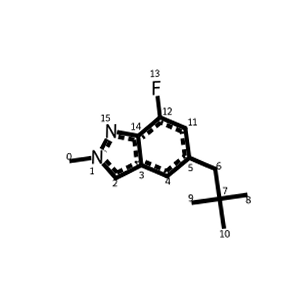 Cn1cc2cc(CC(C)(C)C)cc(F)c2n1